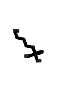 [NH]CCCOP(=O)(O)O